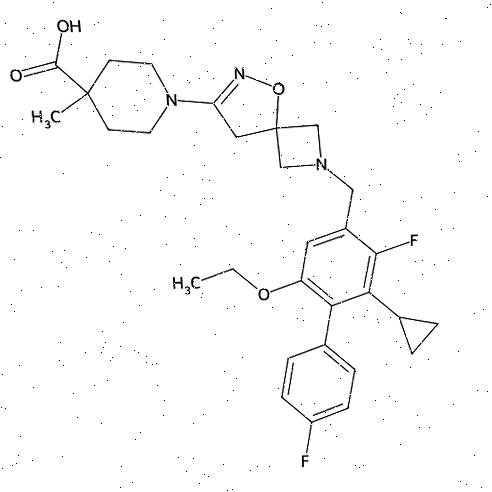 CCOc1cc(CN2CC3(CC(N4CCC(C)(C(=O)O)CC4)=NO3)C2)c(F)c(C2CC2)c1-c1ccc(F)cc1